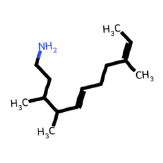 C/C=C(/C)CC/C=C/C(C)C(C)CCN